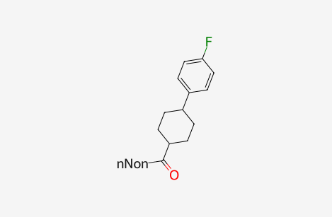 CCCCCCCCCC(=O)C1CCC(c2ccc(F)cc2)CC1